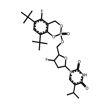 CC(C)c1cn(C2CC(F)C(COP3(=O)OCc4c(F)c(C(C)(C)C)cc(C(C)(C)C)c4O3)O2)c(=O)[nH]c1=O